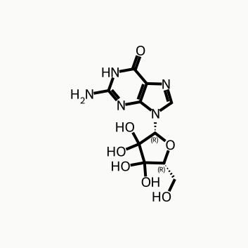 Nc1nc2c(ncn2[C@@H]2O[C@H](CO)C(O)(O)C2(O)O)c(=O)[nH]1